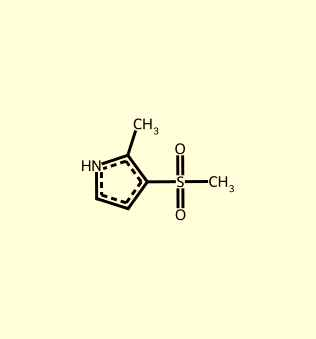 Cc1[nH]ccc1S(C)(=O)=O